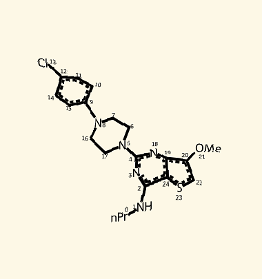 CCCNc1nc(N2CCN(c3ccc(Cl)cc3)CC2)nc2c(OC)csc12